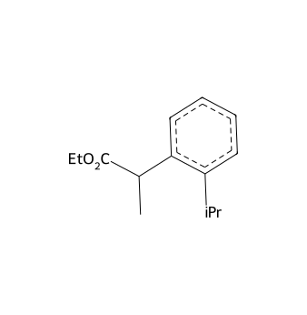 CCOC(=O)C(C)c1ccccc1C(C)C